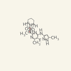 [CH2]c1nc(N(C)[C@@H]2C[C@H]3CCC[C@@H](C2)N3S(=O)(=O)CC)nc(Nc2cc(C)[nH]n2)c1F